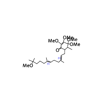 COC1=C(OC)C(OC)(OC)C(C)C(C/C=C(\C)CC/C=C(\C)CCCC(C)(C)OC)C1=O